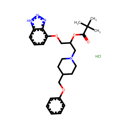 CC(C)(C)C(=O)OC(COc1cccc2[nH]nnc12)CN1CCC(COc2ccccc2)CC1.Cl